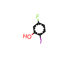 Oc1cc(F)ccc1I